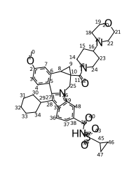 COc1ccc2c(c1)C1CC1(C(=O)N1CCC(N3CCOCC3)CC1)Cn1c-2c(C2CCCCC2)c2ccc(C(=O)NS(=O)(=O)C3CC3)cc21